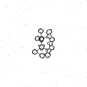 c1ccc(-c2ccc(-c3nc(-c4ccccc4-c4ccccc4)nc(-n4c5ccccc5c5ccc6c7ccc8c9ccccc9n(-c9ccc%10ccccc%10c9)c8c7oc6c54)n3)cc2)cc1